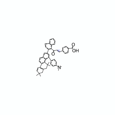 CN(C)c1ccc(-c2cc(-c3ccc4ccccc4c3C(=O)/C=C/c3ccc(C(=O)O)cc3)cc3ccc4c(c23)C(C)(C)CC2=C4C=CC(C)(C)C2)cc1